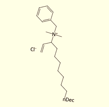 C=CC(CCCCCCCCCCCCCCCCC)[N+](C)(C)Cc1ccccc1.[Cl-]